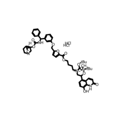 CC(C)(C)OC(=O)N(CCCCOC(=O)c1ccc(COc2cccc(C(NC(=O)O[C@H]3CN4CCC3CC4)c3ccccc3)c2)o1)CC(O[Si](C)(C)C(C)(C)C)c1ccc(O)c2[nH]c(=O)ccc12.Cl.Cl